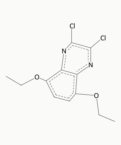 CCOc1ccc(OCC)c2nc(Cl)c(Cl)nc12